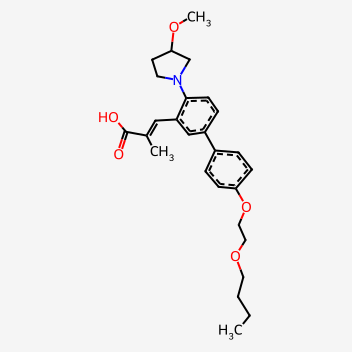 CCCCOCCOc1ccc(-c2ccc(N3CCC(OC)C3)c(/C=C(\C)C(=O)O)c2)cc1